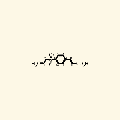 C=CCS(=O)(=O)c1ccc(C=CC(=O)O)cc1